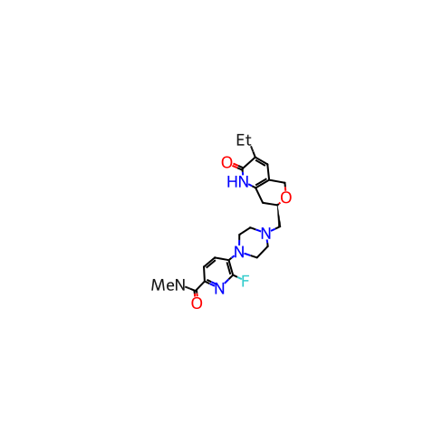 CCc1cc2c([nH]c1=O)C[C@H](CN1CCN(c3ccc(C(=O)NC)nc3F)CC1)OC2